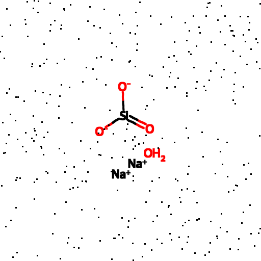 O.O=[Si]([O-])[O-].[Na+].[Na+]